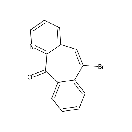 O=c1c2ccccc2c(Br)cc2cccnc12